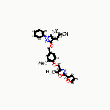 COc1cc(COc2nn(-c3ccccc3)cc2C=C(C#N)C#N)ccc1OCc1nc(-c2ccco2)oc1C